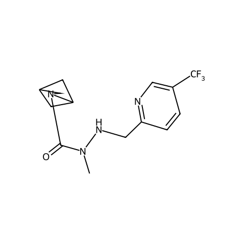 CN(NCc1ccc(C(F)(F)F)cn1)C(=O)N1CC2CC1C2